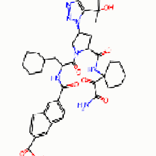 CC(C)(O)c1cnnn1[C@H]1C[C@@H](C(=O)NC2(C(=O)C(N)=O)CCCCC2)N(C(=O)C(CC2CCCCC2)NC(=O)c2ccc3cc(C(=O)O)ccc3c2)C1